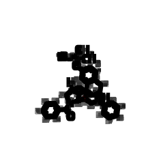 CC(C)(C)[Si](C)(C)Oc1ccc2c(c1)[C@]13CCN(c4ccccc4)[C@H](C2)[C@]12CCC1C3[C@@H](CN1C(=O)c1ccccc1)C2